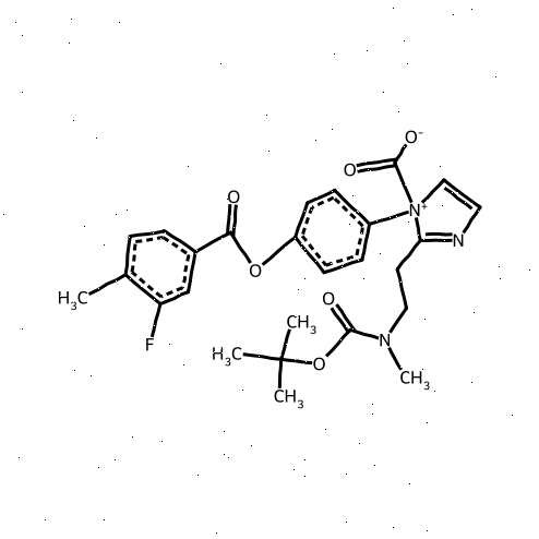 Cc1ccc(C(=O)Oc2ccc([N+]3(C(=O)[O-])C=CN=C3CCN(C)C(=O)OC(C)(C)C)cc2)cc1F